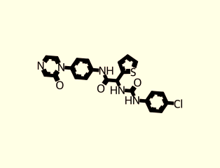 O=C(Nc1ccc(Cl)cc1)NC(C(=O)Nc1ccc(-n2ccncc2=O)cc1)c1cccs1